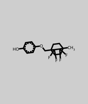 CC12CCC(COc3ccc(O)cc3)(CC1)C(F)(F)C2(F)F